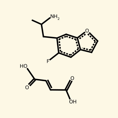 CC(N)Cc1cc2occc2cc1F.O=C(O)/C=C/C(=O)O